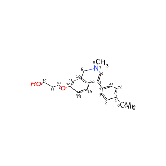 COc1ccc(C2=CN(C)Cc3cc(OCCCO)ccc32)cc1